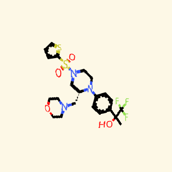 CC(O)(c1ccc(N2CCN(S(=O)(=O)c3cccs3)C[C@H]2CN2CCOCC2)cc1)C(F)(F)F